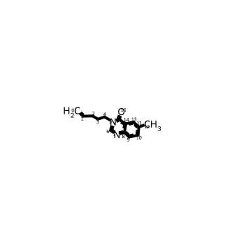 C=CCCCn1cnc2ccc(C)cc2c1=O